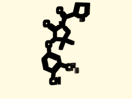 CC1(C)CN(C(=O)c2cccs2)C(=O)C1Oc1ccc(C#N)c(C(F)(F)F)c1